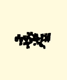 COC[C@H](C)n1c(C2CCC(F)(F)CC2)nc2ccc(/C(C=C(C)C)=C/N(C)C=O)cc21